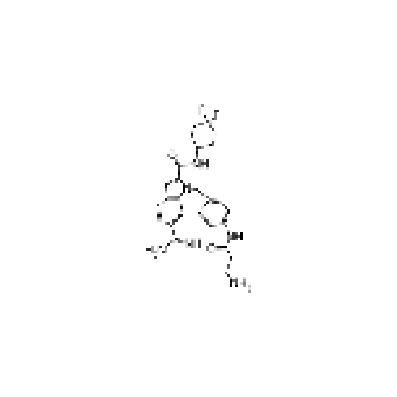 N=C(N)c1ccc2cc(C(=O)NC3CCC(F)(F)CC3)n(Cc3ccc(NC(=O)CCN)cc3)c2c1